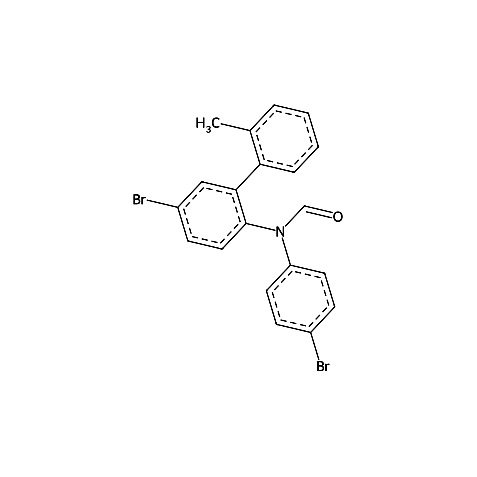 Cc1ccccc1-c1cc(Br)ccc1N(C=O)c1ccc(Br)cc1